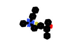 c1ccc(-c2ccc(-c3nc(-c4ccccc4)nc(-c4cccc5c4sc4ccc(-c6cc(-c7ccccc7)cc7oc8ccccc8c67)cc45)n3)cc2)cc1